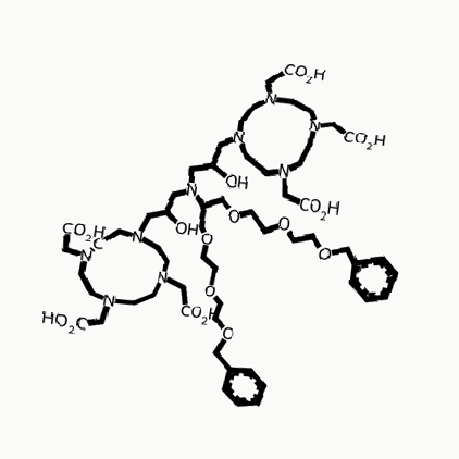 O=C(O)CN1CCN(CC(=O)O)CCN(CC(O)CN(CC(O)CN2CCN(CC(=O)O)CCN(CC(=O)O)CCN(CC(=O)O)CC2)C(COCCOCCOCc2ccccc2)COCCOCCOCc2ccccc2)CCN(CC(=O)O)CC1